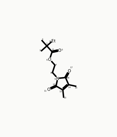 CCC(C)(C)C(=O)OCCN1C(=O)C(C)=C(C)C1=O